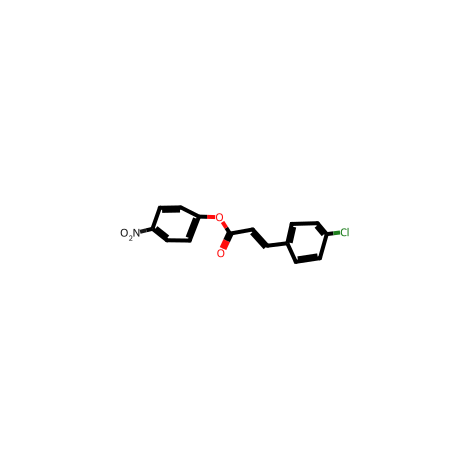 O=C(/C=C/c1ccc(Cl)cc1)Oc1ccc([N+](=O)[O-])cc1